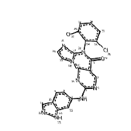 O=c1c2cnc(Nc3ccc4cn[nH]c4c3)nc2n2ccnc2n1-c1c(Cl)cccc1Cl